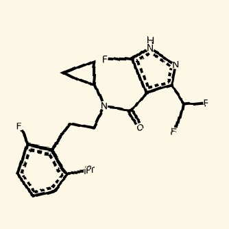 CC(C)c1cccc(F)c1CCN(C(=O)c1c(C(F)F)n[nH]c1F)C1CC1